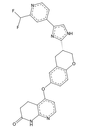 O=C1CCc2c(Oc3ccc4c(c3)C[C@H](c3nc(-c5ccnc(C(F)F)c5)c[nH]3)CO4)ccnc2N1